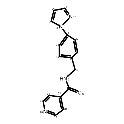 O=C(NCc1ccc(-n2cccn2)cc1)c1ccncc1